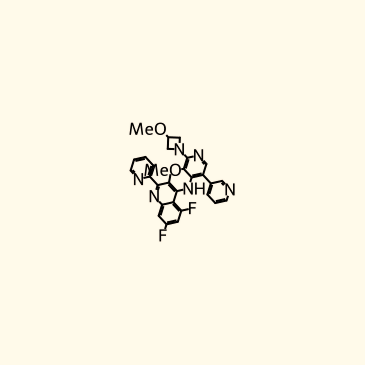 COc1c(N2CC(OC)C2)ncc(-c2cccnc2)c1Nc1c(C)c(-c2ccccn2)nc2cc(F)cc(F)c12